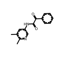 Cc1cc(NC(=O)C(=O)c2ccccc2)cnc1C